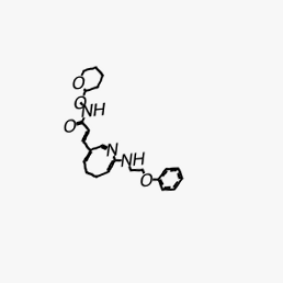 O=C(/C=C/C1=CCC/C=C(NCCOc2ccccc2)\N=C/1)NOC1CCCCO1